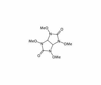 CON1C(=O)N(OC)C2C1N(OC)C(=O)N2OC